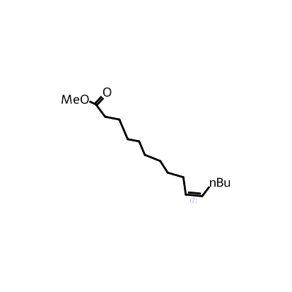 CCCC/C=C\CCCCCCCCC(=O)OC